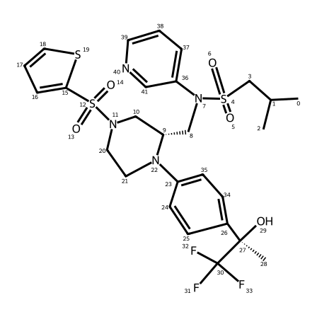 CC(C)CS(=O)(=O)N(C[C@H]1CN(S(=O)(=O)c2cccs2)CCN1c1ccc([C@@](C)(O)C(F)(F)F)cc1)c1cccnc1